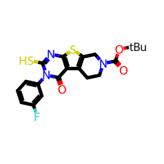 CC(C)(C)OC(=O)N1CCc2c(sc3nc(S)n(-c4cccc(F)c4)c(=O)c23)C1